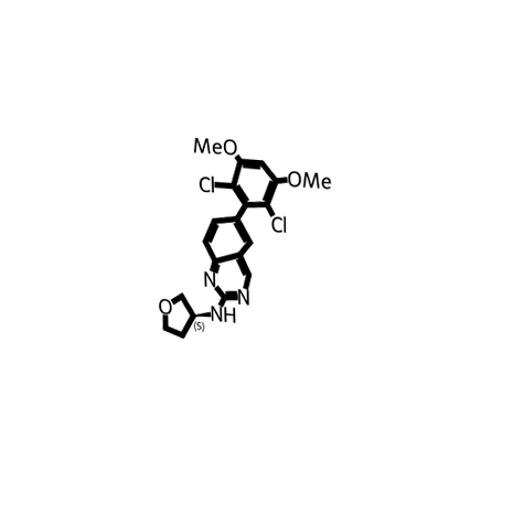 COc1cc(OC)c(Cl)c(-c2ccc3nc(N[C@H]4CCOC4)ncc3c2)c1Cl